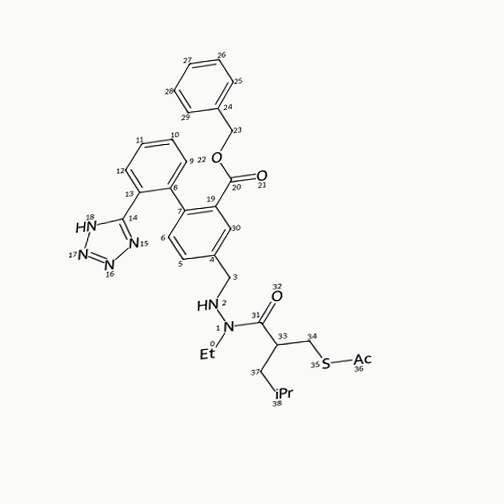 CCN(NCc1ccc(-c2ccccc2-c2nnn[nH]2)c(C(=O)OCc2ccccc2)c1)C(=O)C(CSC(C)=O)CC(C)C